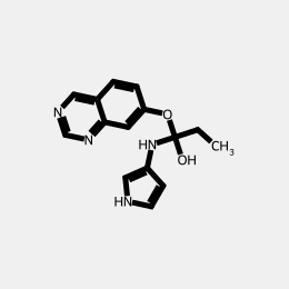 CCC(O)(Nc1cc[nH]c1)Oc1ccc2cncnc2c1